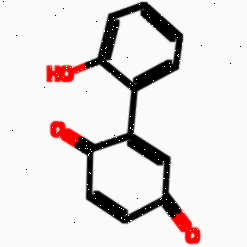 O=C1C=CC(=O)C(c2ccccc2O)=C1